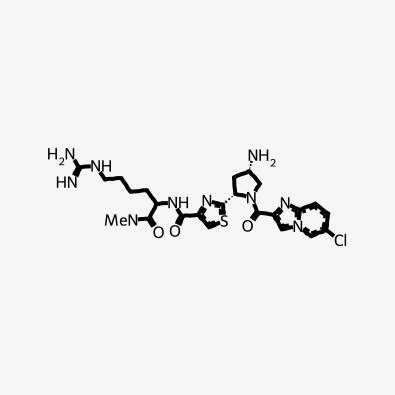 CNC(=O)C(CCCCNC(=N)N)NC(=O)c1csc([C@@H]2C[C@H](N)CN2C(=O)c2cn3cc(Cl)ccc3n2)n1